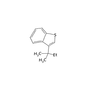 CCC(C)(C)c1csc2ccccc12